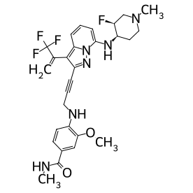 C=C(c1c(C#CCNc2ccc(C(=O)NC)cc2OC)nn2c(N[C@@H]3CCN(C)C[C@@H]3F)cccc12)C(F)(F)F